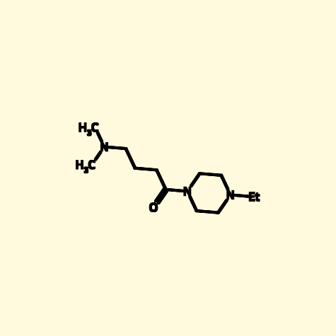 CCN1CCN(C(=O)CCCN(C)C)CC1